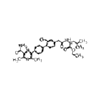 CCOC(=O)[C@H](CC(C)C)NC(=O)Cc1ccc(-c2ccc(-c3nc(C(N)=O)c(C)nc3C)cc2)c(Cl)c1